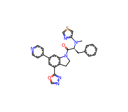 CN(c1cscn1)[C@@H](Cc1ccccc1)C(=O)N1CCc2c(-c3nnco3)cc(-c3ccncc3)cc21